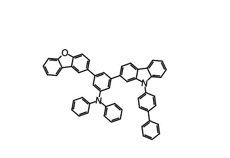 c1ccc(-c2ccc(-n3c4ccccc4c4ccc(-c5cc(-c6ccc7oc8ccccc8c7c6)cc(N(c6ccccc6)c6ccccc6)c5)cc43)cc2)cc1